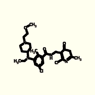 CCN(c1cc(Cl)cc(C(=O)NCC2=C(Cl)N=C(C)CC2=O)c1C)C1CCN(CCOC)CC1